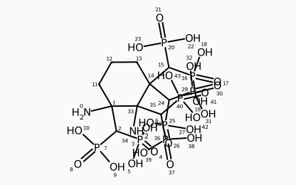 NC1(C(P(=O)(O)O)P(=O)(O)O)CCCC(C(P(=O)(O)O)P(=O)(O)O)(C(P(=O)(O)O)P(=O)(O)O)C1(N)C(P(=O)(O)O)P(=O)(O)O